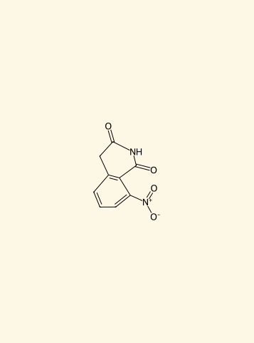 O=C1Cc2cccc([N+](=O)[O-])c2C(=O)N1